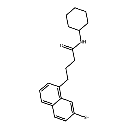 O=C(CCCc1cccc2ccc(S)cc12)NC1CCCCC1